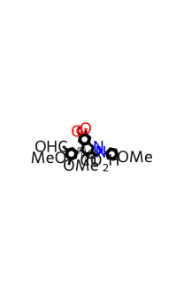 COc1ccc(N2C[C@@H]3C(=N2)c2cc4c(cc2[C@@H](c2cc(C=O)c(OC)c(OC)c2)[C@H]3C(=O)O)OCO4)cc1